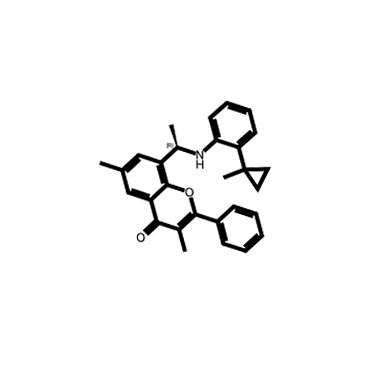 Cc1cc([C@@H](C)Nc2ccccc2C2(C)CC2)c2oc(-c3ccccc3)c(C)c(=O)c2c1